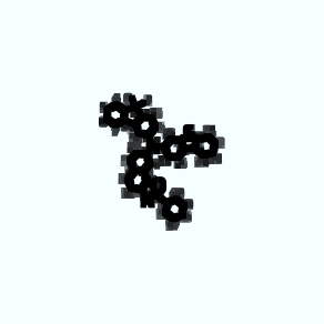 CC1(C)c2ccccc2-c2cc(N(c3ccc4c(c3)sc3ccccc34)c3ccc4ccc5nc(-c6ccccc6)oc5c4c3)ccc21